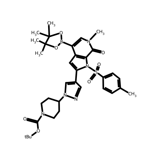 Cc1ccc(S(=O)(=O)n2c(-c3cnn(C4CCN(C(=O)OC(C)(C)C)CC4)c3)cc3c(B4OC(C)(C)C(C)(C)O4)cn(C)c(=O)c32)cc1